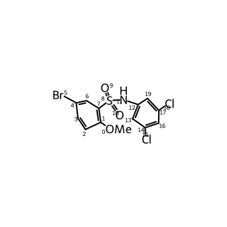 COc1ccc(Br)cc1S(=O)(=O)Nc1cc(Cl)cc(Cl)c1